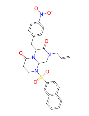 C=CCN1CC2N(C(=O)CCN2S(=O)(=O)c2ccc3ccccc3c2)C(Cc2ccc([N+](=O)[O-])cc2)C1=O